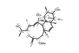 CO[C@H]1C[C@H]2C=C[C@]3(C)[C@H]4[C@H](O)[C@@H](C)[C@@H](OC(C)=O)[C@@H]3O[C@@]24/C(C)=C/[C@@H](C)[C@@H]([C@@H](C)O)OC1=O